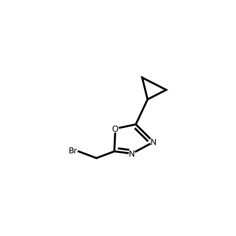 BrCc1nnc(C2CC2)o1